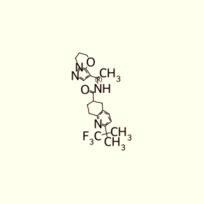 C[C@@H](NC(=O)C1CCc2nc(C(C)(C)C(F)(F)F)ccc2C1)c1cnn2c1OCCC2